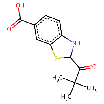 CC(C)(C)C(=O)C1Nc2ccc(C(=O)O)cc2S1